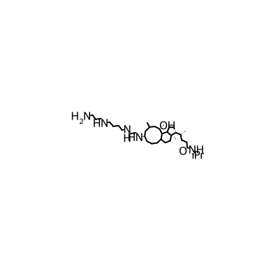 CC1C[C@@H](NCCNCCCCNCCCN)CCCC2CC[C@@]3(C)C(CC[C@@H]3[C@H](C)CCC(=O)NC(C)C)C2[C@@H](O)C1